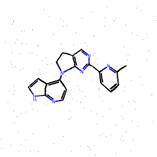 Cc1cccc(-c2ncc3c(n2)N(c2ccnc4[nH]ccc24)CC3)n1